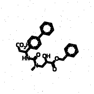 CN(CC(O)C(=O)OCc1ccccc1)C(=O)NC(CC(=O)O)c1ccc(-c2ccccc2)cc1